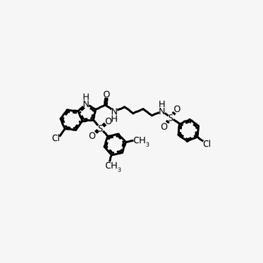 Cc1cc(C)cc(S(=O)(=O)c2c(C(=O)NCCCCNS(=O)(=O)c3ccc(Cl)cc3)[nH]c3ccc(Cl)cc23)c1